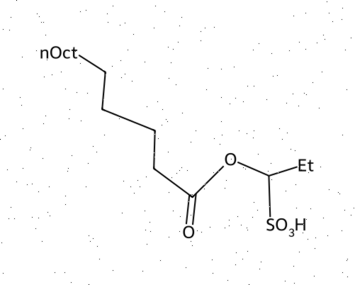 CCCCCCCCCCCCC(=O)OC(CC)S(=O)(=O)O